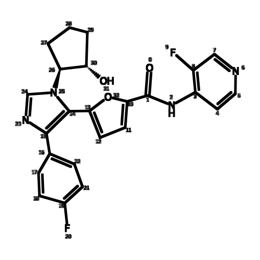 O=C(Nc1ccncc1F)c1ccc(-c2c(-c3ccc(F)cc3)ncn2[C@H]2CCC[C@@H]2O)o1